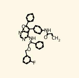 C=CC(=O)Nc1ccc(-c2c(-c3ccccc3)oc3ncnc(N[C@H](COCc4cccc(F)c4)c4ccccc4)c23)cc1